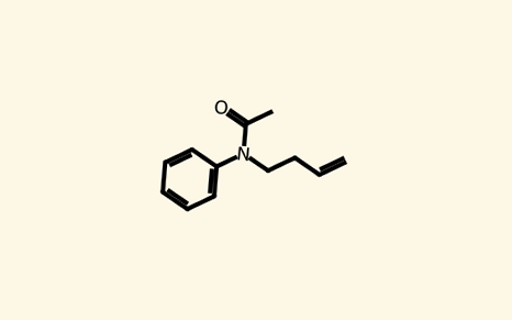 C=CCCN(C(C)=O)c1ccccc1